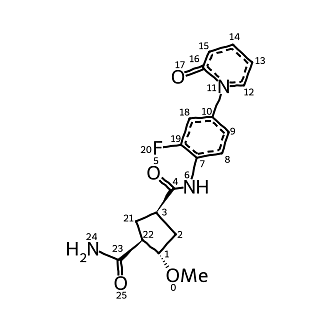 CO[C@H]1C[C@H](C(=O)Nc2ccc(-n3ccccc3=O)cc2F)C[C@@H]1C(N)=O